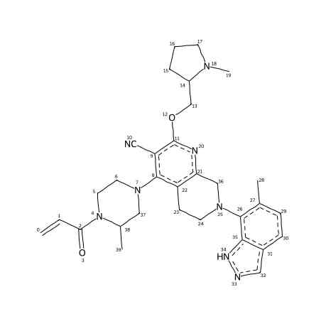 C=CC(=O)N1CCN(c2c(C#N)c(OCC3CCCN3C)nc3c2CCN(c2c(C)ccc4cn[nH]c24)C3)CC1C